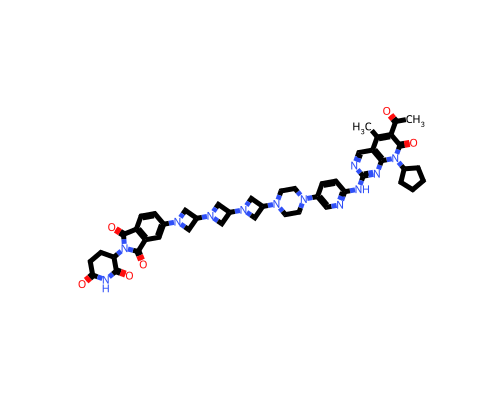 CC(=O)c1c(C)c2cnc(Nc3ccc(N4CCN(C5CN(C6CN(C7CN(c8ccc9c(c8)C(=O)N(C8CCC(=O)NC8=O)C9=O)C7)C6)C5)CC4)cn3)nc2n(C2CCCC2)c1=O